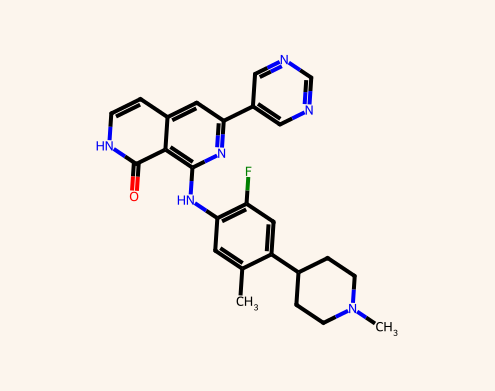 Cc1cc(Nc2nc(-c3cncnc3)cc3cc[nH]c(=O)c23)c(F)cc1C1CCN(C)CC1